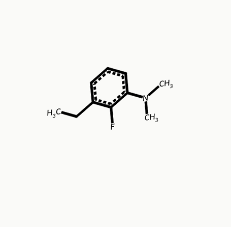 CCc1cccc(N(C)C)c1F